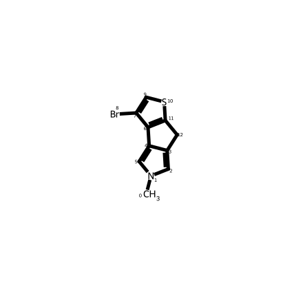 Cn1cc2c(c1)-c1c(Br)csc1C2